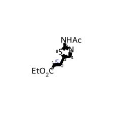 CCOC(=O)/C=C/c1cnc(NC(C)=O)s1